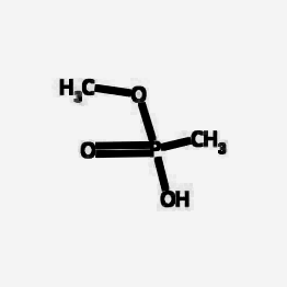 COP(C)(=O)O